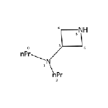 CCCN(CCC)C1CNC1